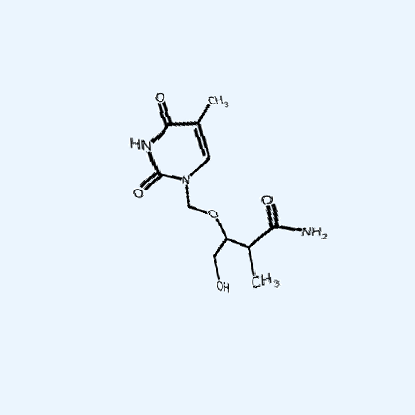 Cc1cn(COC(CO)C(C)C(N)=O)c(=O)[nH]c1=O